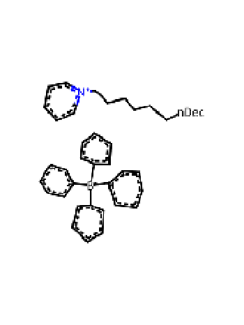 CCCCCCCCCCCCCCCC[n+]1ccccc1.c1ccc([B-](c2ccccc2)(c2ccccc2)c2ccccc2)cc1